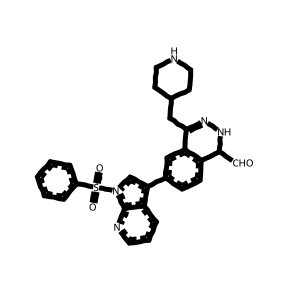 O=CC1NN=C(CC2CCNCC2)c2cc(-c3cn(S(=O)(=O)c4ccccc4)c4ncccc34)ccc21